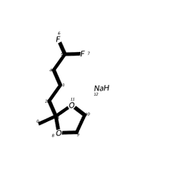 CC1(CCCC(F)F)OCCO1.[NaH]